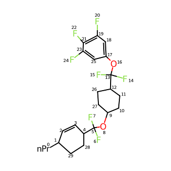 CCCC1C=CC(C(F)(F)OC2CCC(C(F)(F)Oc3cc(F)c(F)c(F)c3)CC2)CC1